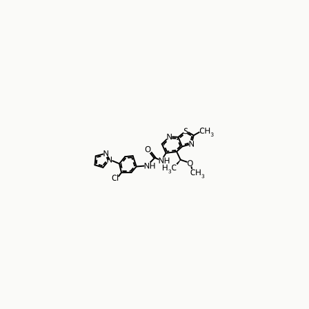 CO[C@@H](C)c1c(NC(=O)Nc2ccc(-n3cccn3)c(Cl)c2)cnc2sc(C)nc12